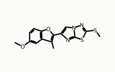 COc1ccc2oc(-c3cn4nc(SC)sc4n3)c(C)c2c1